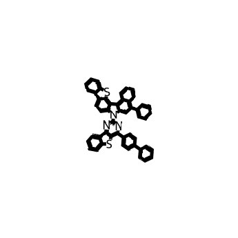 c1ccc(-c2ccc(-c3nc(-n4c5cc(-c6ccccc6)c6ccccc6c5c5c6sc7ccccc7c6ccc54)nc4c3sc3ccccc34)cc2)cc1